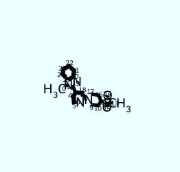 Cn1c(-c2ccnc(N3CCC(S(C)(=O)=O)CC3)c2)nc2ccccc21